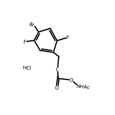 CC(=O)NOC(=O)CCc1cc(F)c(Br)cc1F.Cl